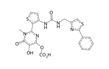 Cn1c(-c2sccc2NC(=O)NCc2csc(-c3ccccc3)n2)nc(OC(=O)O)c(O)c1=O